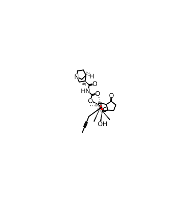 CC#CC[C@]1(C)C[C@@H](OC(=O)NC(=O)[C@H]2CN3CC[C@@H]2C3)[C@@]2(C)C3C(=O)CCC3(CC[C@H]2C)[C@@H](C)[C@@H]1O